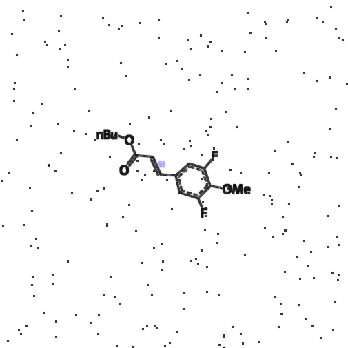 CCCCOC(=O)/C=C/c1cc(F)c(OC)c(F)c1